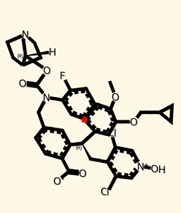 COc1ccc([C@@H](Cc2c(Cl)c[n+](O)cc2Cl)c2cc(CN(C(=O)O[C@H]3CN4CCC3CC4)c3ccccc3F)ccc2C(=O)[O-])cc1OCC1CC1